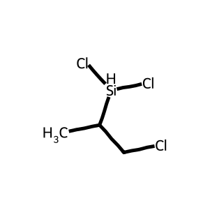 CC(CCl)[SiH](Cl)Cl